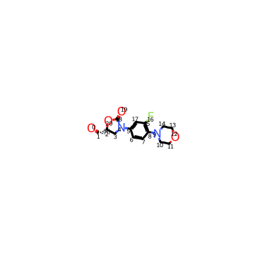 O=[C][C@H]1CN(c2ccc(N3CCOCC3)c(F)c2)C(=O)O1